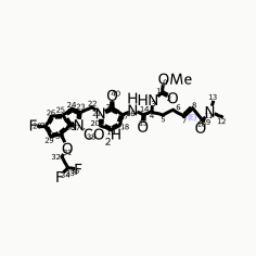 COC(=O)NC(CC/C=C/C(=O)N(C)C)C(=O)Nc1cccn(Cc2cc3cc(F)cc(OCC(F)F)c3n2C(=O)O)c1=O